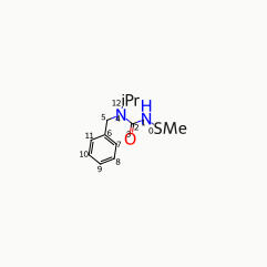 CSNC(=O)N(Cc1ccccc1)C(C)C